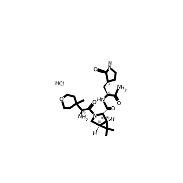 CC1([C@H](N)C(=O)N2C[C@H]3[C@@H]([C@H]2C(=O)N[C@@H](C[C@@H]2CCNC2=O)C(N)=O)C3(C)C)CCOCC1.Cl